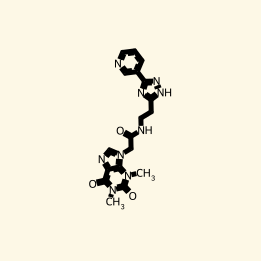 Cn1c(=O)c2ncn(CC(=O)NCCc3nc(-c4cccnc4)n[nH]3)c2n(C)c1=O